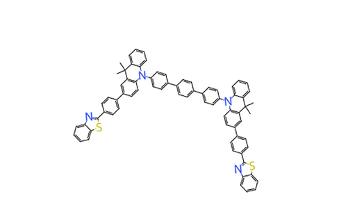 CC1(C)c2ccccc2N(c2ccc(-c3ccc(-c4ccc(N5c6ccccc6C(C)(C)c6cc(-c7ccc(-c8nc9ccccc9s8)cc7)ccc65)cc4)cc3)cc2)c2ccc(-c3ccc(-c4nc5ccccc5s4)cc3)cc21